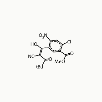 COC(=O)c1cc(C(O)=C(C#N)C(=O)C(C)(C)C)c([N+](=O)[O-])cc1Cl